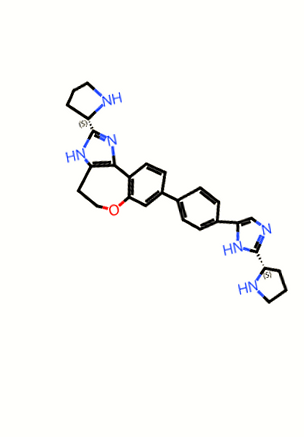 c1cc(-c2cnc([C@@H]3CCCN3)[nH]2)ccc1-c1ccc2c(c1)OCCc1[nH]c([C@@H]3CCCN3)nc1-2